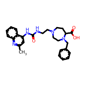 Cc1cc(NC(=O)NCCN2CCC(C(=O)O)N(Cc3ccccc3)CC2)c2ccccc2n1